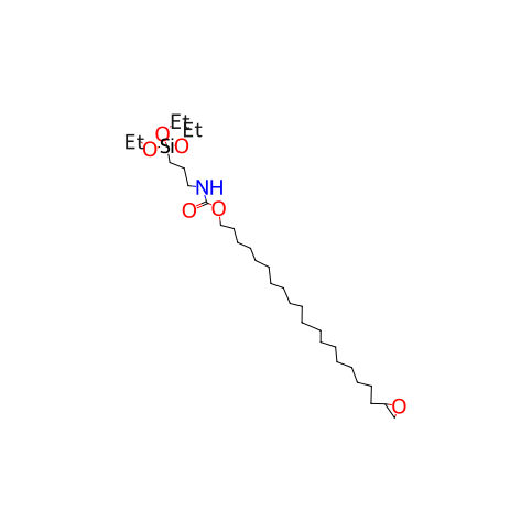 CCO[Si](CCCNC(=O)OCCCCCCCCCCCCCCCCCCCC1CO1)(OCC)OCC